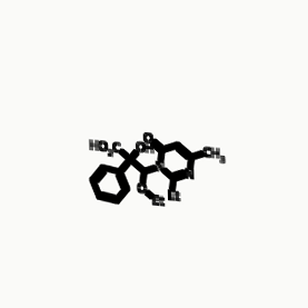 CCOC(n1c(CC)nc(C)cc1=O)C(O)(C(=O)O)c1ccccc1